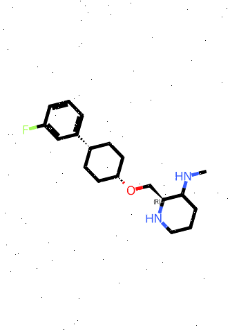 CNC1CCCN[C@H]1CO[C@H]1CC[C@@H](c2cccc(F)c2)CC1